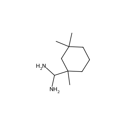 CC1(C)CCCC(C)(C(N)N)C1